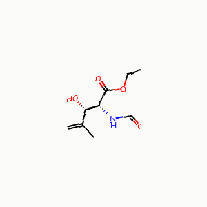 C=C(C)[C@H](O)[C@@H](NC=O)C(=O)OCC